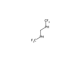 FC(F)(F)PCPC(F)(F)F